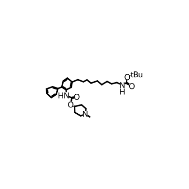 CN1CCC(OC(=O)Nc2cc(CCCCCCCCCNC(=O)OC(C)(C)C)ccc2-c2ccccc2)CC1